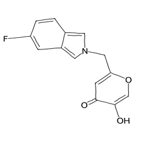 O=c1cc(Cn2cc3ccc(F)cc3c2)occ1O